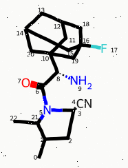 CC1C[C@@H](C#N)N(C(=O)[C@@H](N)C23CC4CC(CC(F)(C4)C2)C3)C1C